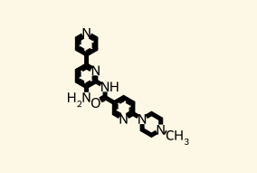 CN1CCN(c2ccc(C(=O)Nc3nc(-c4ccncc4)ccc3N)cn2)CC1